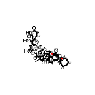 C[C@@H]1C[C@H]2[C@@H]3CCC4=CC(=O)C=C[C@]4(C)[C@@]3(F)[C@@H](O)C[C@]2(C)[C@@]1(O)C(=O)COP(=O)(O)OC1C(O)[C@H](n2ccc(=O)[nH]c2=O)O[C@@H]1COC(=O)NCCNC(=O)COC1/C=C\CCCCC1